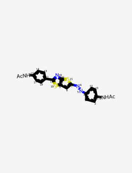 CC(=O)Nc1ccc(N=Nc2cc3sc(-c4ccc(NC(C)=O)cc4)nc3s2)cc1